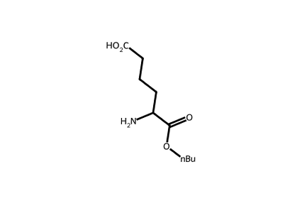 CCCCOC(=O)C(N)CCCC(=O)O